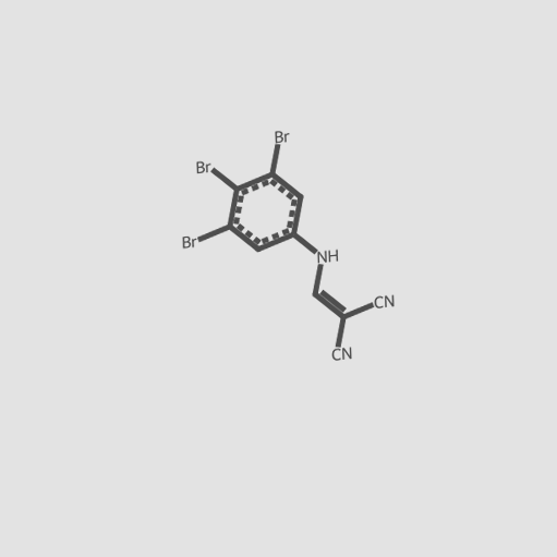 N#CC(C#N)=CNc1cc(Br)c(Br)c(Br)c1